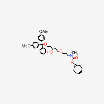 COc1ccc(C(OCCC(O)CCOCCCN(C)C(=O)OC2C3CCC#CCCC32)(c2ccccc2)c2ccc(OC)cc2)cc1